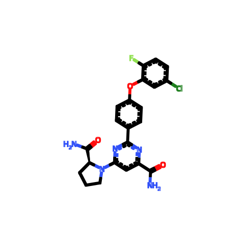 NC(=O)c1cc(N2CCC[C@H]2C(N)=O)nc(-c2ccc(Oc3cc(Cl)ccc3F)cc2)n1